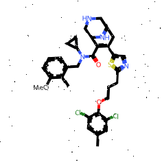 COc1cccc(CN(C(=O)C2=C(c3cnc(CCCOc4c(Cl)cc(C)cc4Cl)s3)CC3CNCC2N3)C2CC2)c1C